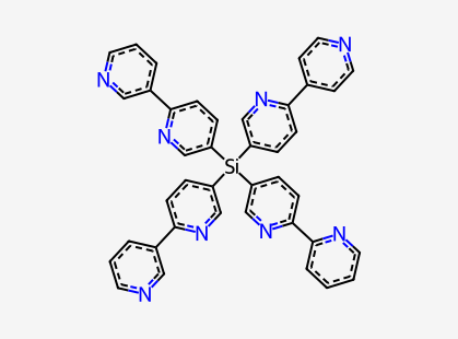 c1ccc(-c2ccc([Si](c3ccc(-c4ccncc4)nc3)(c3ccc(-c4cccnc4)nc3)c3ccc(-c4cccnc4)nc3)cn2)nc1